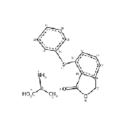 CC(N)C(=O)O.O=C1OCc2cccc(Sc3ccccc3)c21